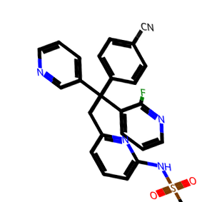 CS(=O)(=O)Nc1cccc(CC(c2ccc(C#N)cc2)(c2cccnc2)c2cccnc2F)n1